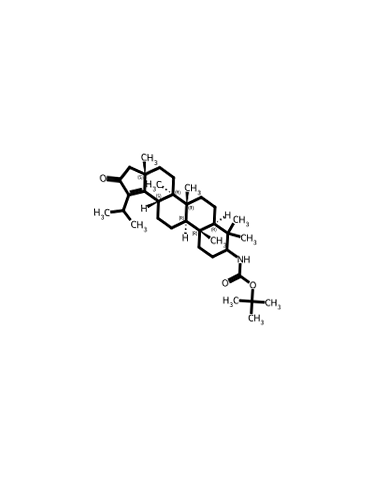 CC(C)C1=C2[C@H]3CC[C@@H]4[C@@]5(C)CCC(NC(=O)OC(C)(C)C)C(C)(C)[C@@H]5CC[C@@]4(C)[C@]3(C)CC[C@@]2(C)CC1=O